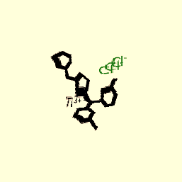 Cc1cccc(C(C2=[C]([Ti+3])C(Cc3ccccc3)=CC2)c2cccc(C)c2)c1.[Cl-].[Cl-].[Cl-]